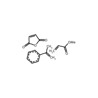 C=C(C)c1ccccc1.C=CC(=O)OC.O=C1C=CC(=O)O1